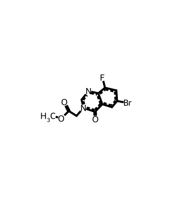 COC(=O)Cn1cnc2c(F)cc(Br)cc2c1=O